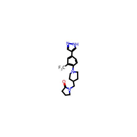 O=C1CCCN1CC1CCN(c2ccc(-c3cn[nH]c3)cc2C(F)(F)F)CC1